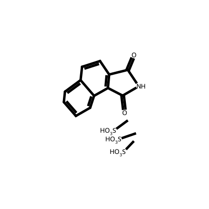 CS(=O)(=O)O.CS(=O)(=O)O.CS(=O)(=O)O.O=C1NC(=O)c2c1ccc1ccccc21